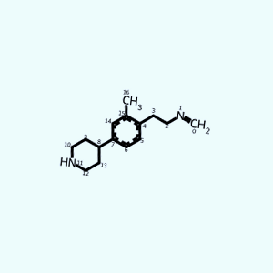 C=NCCc1ccc(C2CCNCC2)cc1C